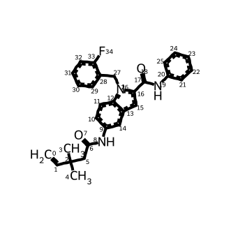 C=CC(C)(C)CC(=O)Nc1ccc2c(c1)cc(C(=O)Nc1ccccc1)n2Cc1ccccc1F